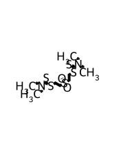 CCN(CC)C(=S)SCCS(=O)(=O)CCSC(=S)N(CC)CC